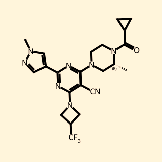 C[C@@H]1CN(c2nc(-c3cnn(C)c3)nc(N3CC(C(F)(F)F)C3)c2C#N)CCN1C(=O)C1CC1